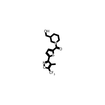 Cc1c(-c2ccc(C(=O)N3CCCC(CO)C3)s2)noc1C(F)(F)F